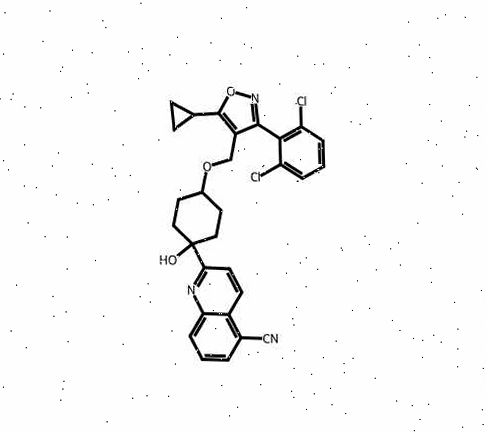 N#Cc1cccc2nc(C3(O)CCC(OCc4c(-c5c(Cl)cccc5Cl)noc4C4CC4)CC3)ccc12